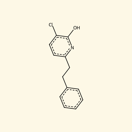 Oc1nc(CCc2ccccc2)ccc1Cl